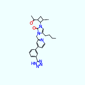 CCCCc1cn(C2C(C)CC2C(C)=O)c(=O)n1Cc1cc(-c2cccc(-c3nnn[nH]3)c2)ccn1